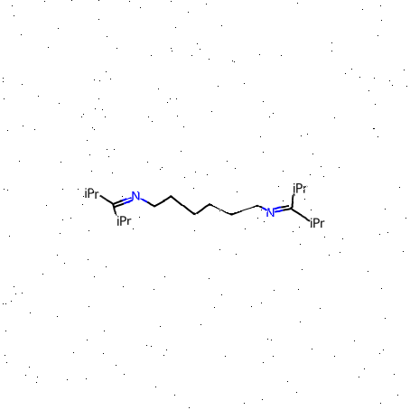 CC(C)C(=NCCCCCCN=C(C(C)C)C(C)C)C(C)C